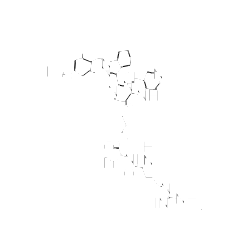 CCOc1cc(F)c(Cn2nc(-c3ncc(OCCCOC(=O)[C@@H](NC(=O)[C@@H](N)CCCNC(=N)N)C(C)C)c(Nc4ccncc4Cl)n3)c3ccccc32)c(F)c1